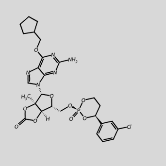 C[C@@]12OC(=O)O[C@@H]1[C@@H](CO[P@@]1(=O)OCC[C@@H](c3cccc(Cl)c3)O1)O[C@H]2n1cnc2c(OCC3CCCC3)nc(N)nc21